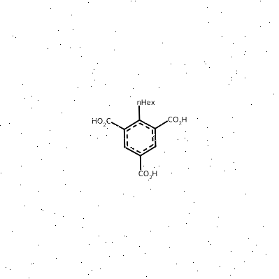 [CH2]CCCCCc1c(C(=O)O)cc(C(=O)O)cc1C(=O)O